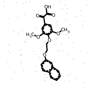 COc1cc(C(=O)C(=O)O)cc(OC)c1OCCOc1ccc2ccccc2c1